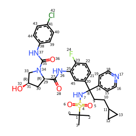 CC(C)(C)S(=O)(=O)NC(CCC1CC1)(c1ccncc1)c1ccc(F)c(NC(=O)[C@H]2C[C@@H](O)CN2C(=O)Nc2ccc(Cl)cc2)c1